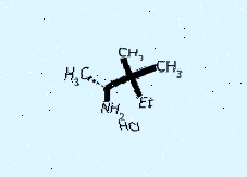 CCC(C)(C)[C@@H](C)N.Cl